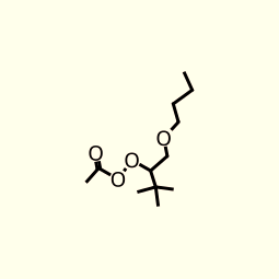 CCCCOCC(OOC(C)=O)C(C)(C)C